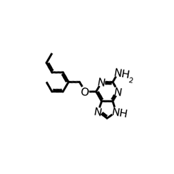 C\C=C/C=C(\C=C/C)COc1nc(N)nc2[nH]cnc12